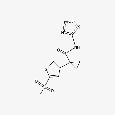 CS(=O)(=O)C1=CC(C2(C(=O)Nc3nccs3)CC2)CS1